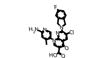 Cc1cc(N)ncc1-n1cc(C(=O)O)c(=O)c2cc(Cl)c(N3Cc4ccc(F)cc4C3)nc21